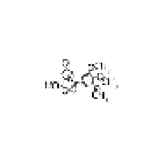 COc1cc(C(=O)N2CC(=O)C[C@H]2C(=O)O)cc(OC)c1OC